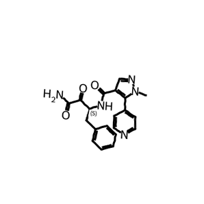 Cn1ncc(C(=O)N[C@@H](Cc2ccccc2)C(=O)C(N)=O)c1-c1ccncc1